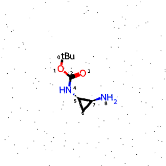 CC(C)(C)OC(=O)N[C@H]1C[C@@H]1N